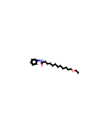 CCOCCCCCCCCCCCC(=O)Nc1ccccc1